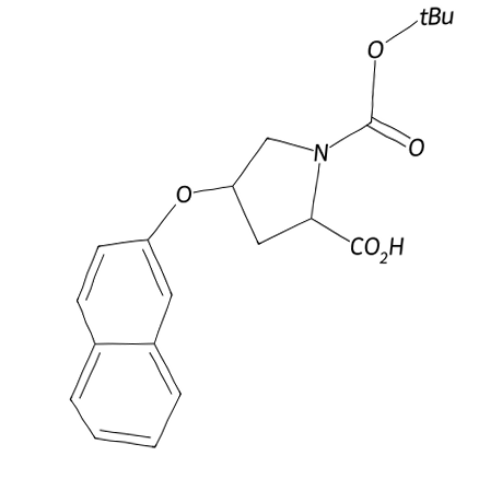 CC(C)(C)OC(=O)N1CC(Oc2ccc3ccccc3c2)CC1C(=O)O